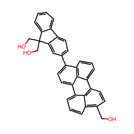 OCc1ccc2c3cccc4c(-c5ccc6c(c5)C(CO)(CO)c5ccccc5-6)ccc(c5cccc1c25)c43